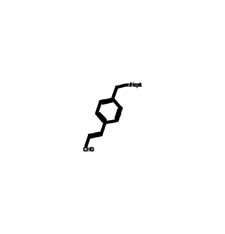 CCCCCCCCc1ccc(C=CC=O)cc1